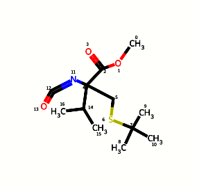 COC(=O)C(CSC(C)(C)C)(N=C=O)C(C)C